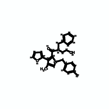 Cc1cn(Cc2ccc(F)cc2)c(C(=O)N(CCO)Cc2ccccc2)c1-c1ccco1